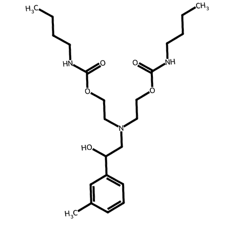 CCCCNC(=O)OCCN(CCOC(=O)NCCCC)CC(O)c1cccc(C)c1